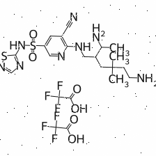 CC(N)C(CNc1ncc(S(=O)(=O)Nc2ncns2)cc1C#N)CC(C)(C)CCN.O=C(O)C(F)(F)F.O=C(O)C(F)(F)F